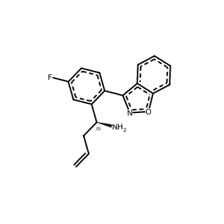 C=CC[C@H](N)c1cc(F)ccc1-c1noc2ccccc12